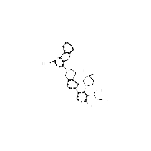 Cc1nc(N2CCc3cc(-c4c(C)nc(C)c([C@H](OC(C)(C)C)C(=O)O)c4N4CCC(C)(C)CC4)ccc3C2)c2oc3ccccc3c2n1